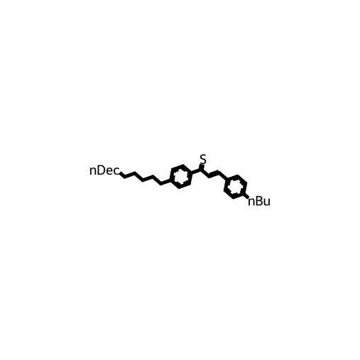 CCCCCCCCCCCCCCCc1ccc(C(=S)C=Cc2ccc(CCCC)cc2)cc1